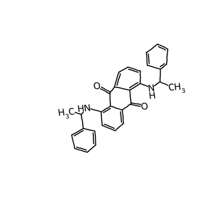 CC(Nc1cccc2c1C(=O)c1cccc(NC(C)c3ccccc3)c1C2=O)c1ccccc1